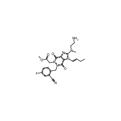 CCC=Cn1c(N(C)CCN)nc2c(=O)n(CC(=O)OC)n(Cc3ccc(F)cc3C#N)c(=O)c21